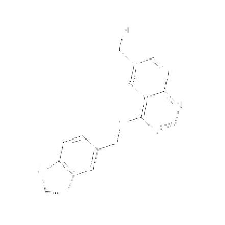 OCc1ccc2ncnc(NCc3ccc4c(c3)OCO4)c2c1